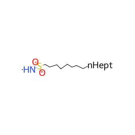 CCCCCCCCCCCCCCCS([NH])(=O)=O